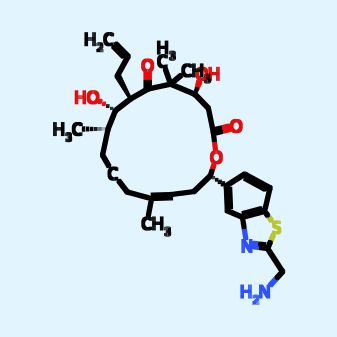 C=CC[C@H]1C(=O)C(C)(C)[C@@H](O)CC(=O)O[C@H](c2ccc3sc(CN)nc3c2)C/C=C(/C)CCC[C@H](C)[C@@H]1O